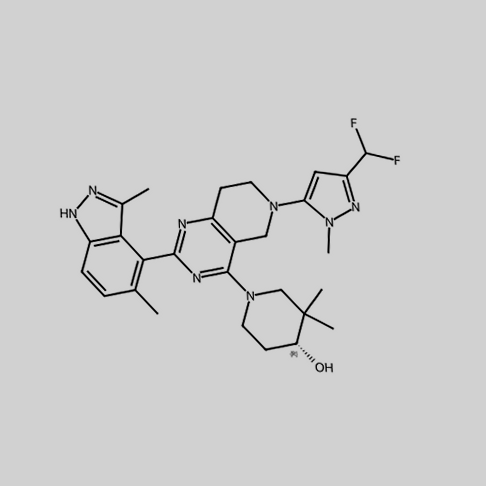 Cc1ccc2[nH]nc(C)c2c1-c1nc2c(c(N3CC[C@@H](O)C(C)(C)C3)n1)CN(c1cc(C(F)F)nn1C)CC2